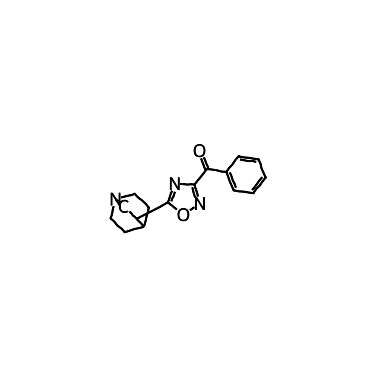 O=C(c1ccccc1)c1noc(C2CN3CCC2CC3)n1